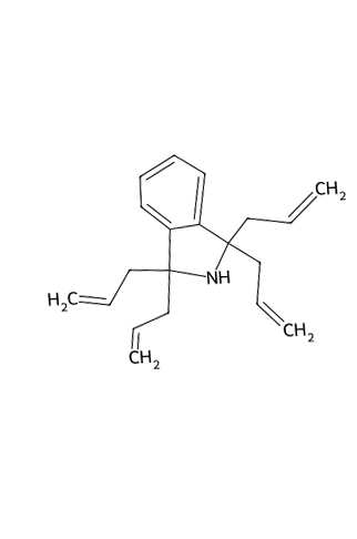 C=CCC1(CC=C)NC(CC=C)(CC=C)c2ccccc21